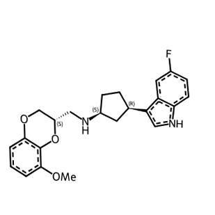 COc1cccc2c1O[C@@H](CN[C@H]1CC[C@@H](c3c[nH]c4ccc(F)cc34)C1)CO2